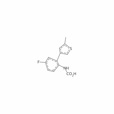 Cc1cc(-c2cc(F)ccc2NC(=O)O)cs1